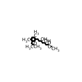 CCOC(=O)CC(O)CC(O)CCc1c(C)cc(C)c2c1OC(C)(C)C2